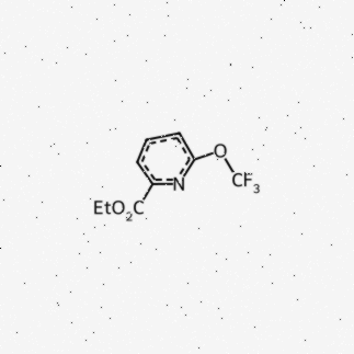 CCOC(=O)c1cccc(OC(F)(F)F)n1